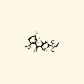 CCS(=O)(=O)c1ncc(C(=O)c2cc(F)ccc2OC)c(N)n1